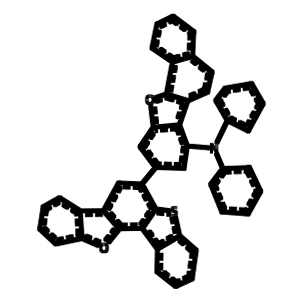 c1ccc(N(c2ccccc2)c2cc(-c3cc4c5ccccc5oc4c4c3sc3ccccc34)cc3oc4c5ccccc5ccc4c23)cc1